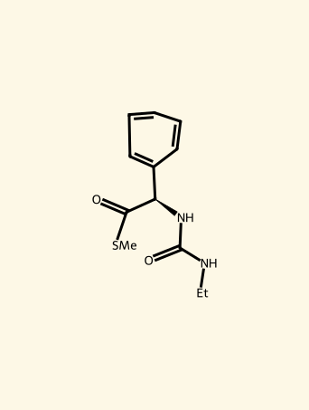 CCNC(=O)N[C@@H](C(=O)SC)c1ccccc1